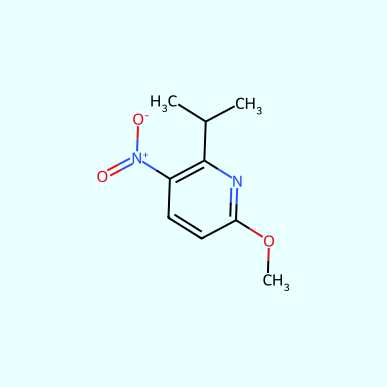 COc1ccc([N+](=O)[O-])c(C(C)C)n1